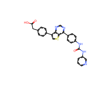 O=C(O)Cc1ccc(-c2csc3c(-c4ccc(NC(=O)Nc5cccnc5)cc4)ncnc23)cc1